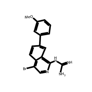 COc1cccc(-c2ccc3c(Br)cnc(NC(=N)N)c3c2)c1